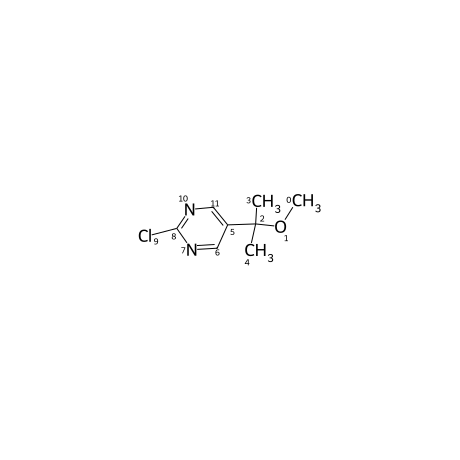 COC(C)(C)c1cnc(Cl)nc1